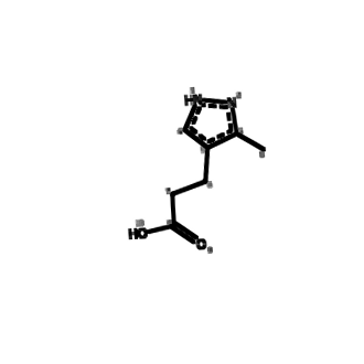 Cc1n[nH]cc1CCC(=O)O